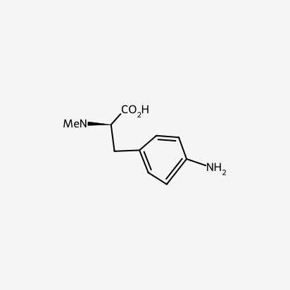 CN[C@H](Cc1ccc(N)cc1)C(=O)O